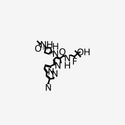 CC(=O)N[C@@H]1CC[C@@H](Nc2cc(-c3ccc4cc(C#N)cnn34)ncc2C(=O)NCC(F)C(C)(C)O)C1